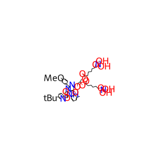 COc1ccc(-c2nc(NS(=O)(=O)c3ccc(C(C)(C)C)cn3)c(Oc3ccccc3C)c(OCC(COC(=O)CCCCCON(O)O)OC(=O)CCCCCON(O)O)n2)cc1